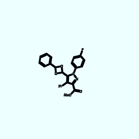 COC(=O)c1nn(-c2ccc(F)cc2)c(C2OC(c3ccccc3)O2)c1C(C)C